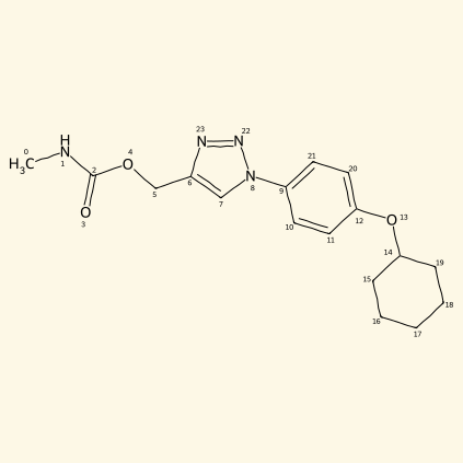 CNC(=O)OCc1cn(-c2ccc(OC3CCCCC3)cc2)nn1